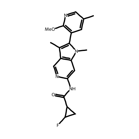 COc1ncc(C)cc1-c1c(C)c2cnc(NC(=O)C3CC3F)cc2n1C